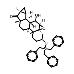 C[C@]12CC[C@H]3[C@@H]([C@@H](O)[C@H]4O[C@]45C[C@@H](O[Si](Cc4ccccc4)(Cc4ccccc4)Cc4ccccc4)CC[C@]35C)[C@@H]1[C@@H]1C[C@@H]1C2=O